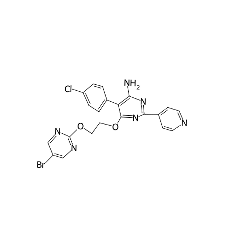 Nc1nc(-c2ccncc2)nc(OCCOc2ncc(Br)cn2)c1-c1ccc(Cl)cc1